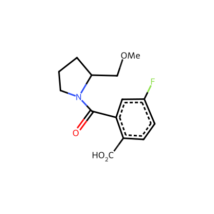 COCC1CCCN1C(=O)c1cc(F)ccc1C(=O)O